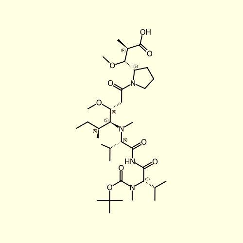 CC[C@H](C)[C@@H]([C@@H](CC(=O)N1CCC[C@H]1C(OC)[C@@H](C)C(=O)O)OC)N(C)[C@H](C(=O)NC(=O)[C@H](C(C)C)N(C)C(=O)OC(C)(C)C)C(C)C